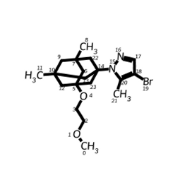 COCCOC12CC3(C)CC(C)(C1)CC(n1ncc(Br)c1C)(C3)C2